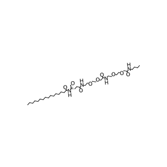 CCCCCCCCCCCCCCCC(=O)N[C@H](C=O)CCC(=O)NCCOCCOCC(=O)NCCOCCOCC(=O)NCCCC